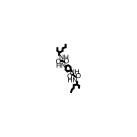 CCCCC(CC)CNC(=O)C(=O)NC1CCC(NC(=O)C(=O)NCC(CC)CCCC)CC1